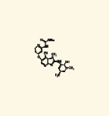 CNC(=O)Nc1cc(Oc2cnc3nc(NC4=CC(C(F)(F)F)=CN(C)C4O)n(C)c3c2C#N)ccn1